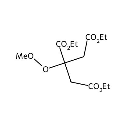 CCOC(=O)CC(CC(=O)OCC)(OOC)C(=O)OCC